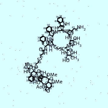 CO[C@H]1C(=O)C2C(C[C@]3(O)C[C@H](OC(=O)[C@H](OOCCSSCCC(=O)N[C@H](Cc4ccccc4)C(=O)N[C@H]4CSSC[C@@H](C(=O)N[C@H](CO)[C@@H](C)O)NC(=O)[C@H]([C@@H](C)O)NC(=O)[C@H](CCCCN)NC(=O)[C@@H](Cc5c[nH]c6ccccc56)NC(=O)[C@H](Cc5ccccc5)NC4=O)[C@@H](NC(=O)OC(C)(C)C)c4ccccc4)C(C)=C1C3(C)C)[C@]1(OC(C)=O)COC1C[C@@H]2OC